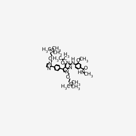 CNC(=O)c1ccc(Nc2nc(OC(C)C)c3c(-c4ccc(-c5nccn5COCC[Si](C)(C)C)cc4)cn(COCC[Si](C)(C)C)c3n2)c(OC)c1